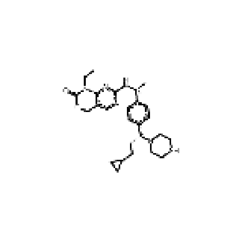 CCN1C(=O)OCc2cnc(N[C@@H](C)c3ccc([C@@H](CCC4CC4)N4CCNCC4)cc3)nc21